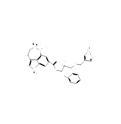 CCn1cc(CNC[C@@H](O)[C@H](Cc2ccccc2)NC(=O)c2cc3c4c(cn(CC)c4c2)CCS(=O)(=O)N3C)cn1